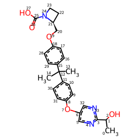 CC(O)c1ncc(Oc2ccc(C(C)(C)c3ccc(OC[C@@H]4CCN4C(=O)O)cc3)cc2)cn1